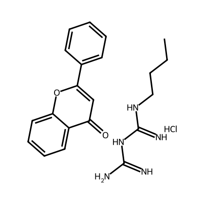 CCCCNC(=N)NC(=N)N.Cl.O=c1cc(-c2ccccc2)oc2ccccc12